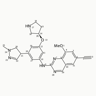 C#Cc1cc(OC)c2nc(Nc3cc(O[C@@H]4CCNC4)cc(C4C=NN(C)C4)c3)ncc2c1